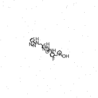 O=C(Nc1ccc(F)c(CN2CCC[C@H]2CO)c1)Nc1ncc(CCNc2ncnc3ccsc23)s1